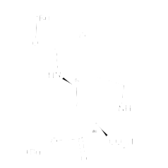 CC(C)(C)OC(=O)N[C@H]1CCN[C@](C(=O)O)(C(=O)OC(C)(C)C)C1